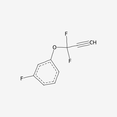 C#CC(F)(F)Oc1cccc(F)c1